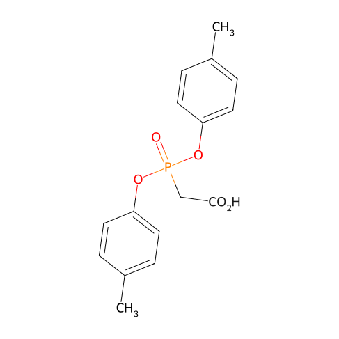 Cc1ccc(OP(=O)(CC(=O)O)Oc2ccc(C)cc2)cc1